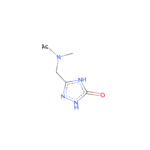 CC(=O)N(C)Cc1n[nH]c(=O)[nH]1